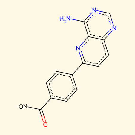 Nc1ncnc2ccc(-c3ccc(C(=O)N=O)cc3)nc12